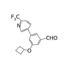 O=Cc1cc(OC2CCC2)cc(-c2ccc(C(F)(F)F)nc2)c1